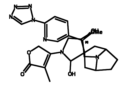 COC1CN(C2=C(C)C(=O)OC2)C(O)C12CC1CCC(C2)N1C[C@H](O)c1ccc(-n2cnnn2)nc1